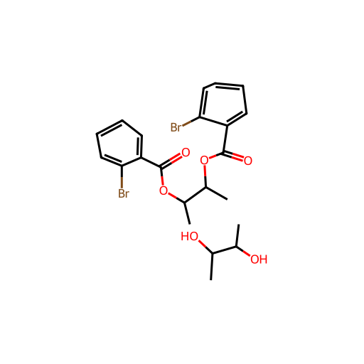 CC(O)C(C)O.CC(OC(=O)c1ccccc1Br)C(C)OC(=O)c1ccccc1Br